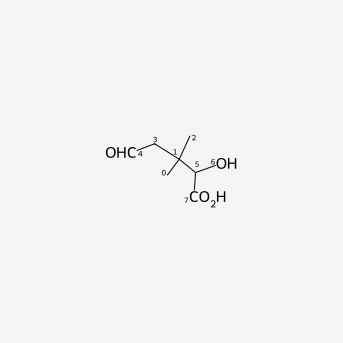 CC(C)(CC=O)C(O)C(=O)O